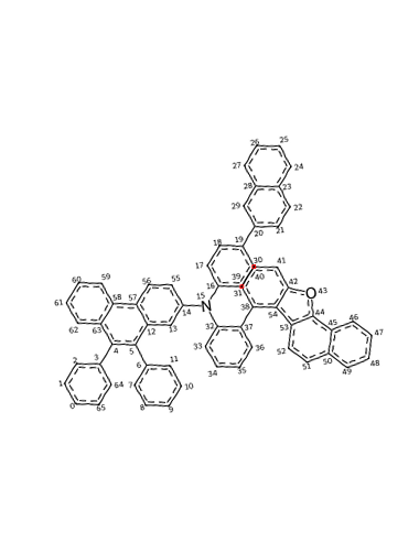 c1ccc(-c2c(-c3ccccc3)c3cc(N(c4ccc(-c5ccc6ccccc6c5)cc4)c4ccccc4-c4cccc5oc6c7ccccc7ccc6c45)ccc3c3ccccc23)cc1